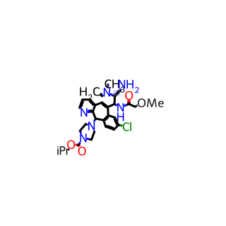 C=CN(C)/C(=C\N)C(NC(=O)COC)C1=Cc2cccnc2C(N2CCN(C(=O)OC(C)C)CC2)c2ccc(Cl)cc21